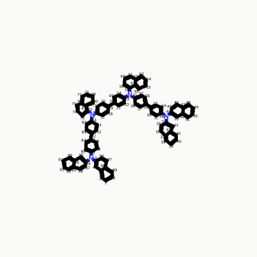 c1ccc2cc(N(c3ccc(-c4ccc(N(c5ccc(-c6ccc(N(c7ccc(-c8ccc(N(c9ccc%10ccccc%10c9)c9ccc%10ccccc%10c9)cc8)cc7)c7cccc8ccccc78)cc6)cc5)c5cccc6ccccc56)cc4)cc3)c3ccc4ccccc4c3)ccc2c1